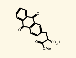 COC(=O)C(Cc1ccc2c(c1)C(=O)c1ccccc1C2=O)C(=O)O